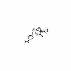 CC1(C)ON=C(c2ccc(OC(F)(F)F)cc2)N1NC(=O)Oc1ccco1